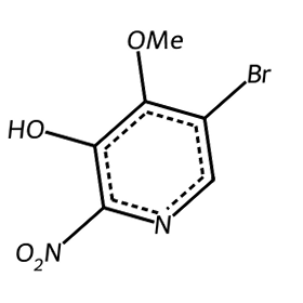 COc1c(Br)cnc([N+](=O)[O-])c1O